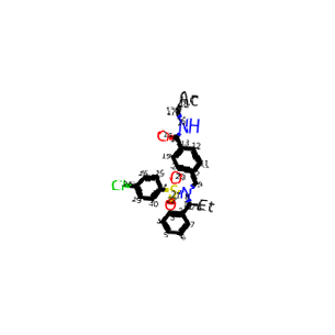 CC[C@@H](c1ccccc1)N(Cc1ccc(C(=O)NCC(C)=O)cc1)S(=O)(=O)c1ccc(Cl)cc1